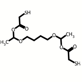 CC(OCCCCOC(C)OC(=O)CS)OC(=O)CS